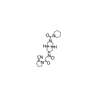 N#C[C@@H]1CCCN1C(=O)CN(Cl)[C@@H]1C[C@@H]2CN(C(=O)N3CCCCC3)C[C@@H]2C1